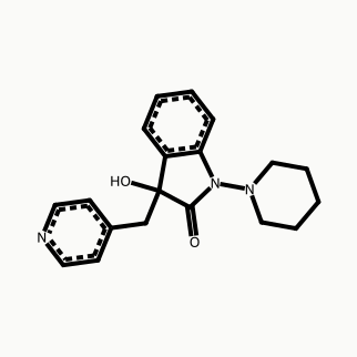 O=C1N(N2CCCCC2)c2ccccc2C1(O)Cc1ccncc1